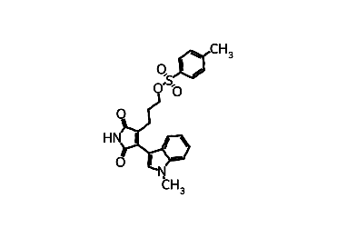 Cc1ccc(S(=O)(=O)OCCCC2=C(c3cn(C)c4ccccc34)C(=O)NC2=O)cc1